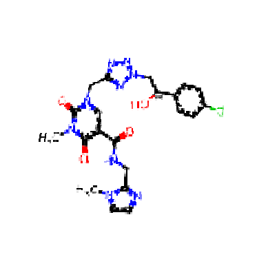 Cn1ccnc1CNC(=O)c1cn(Cc2nnn(C[C@H](O)c3ccc(Cl)cc3)n2)c(=O)n(C)c1=O